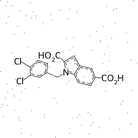 O=C(O)c1ccc2c(c1)cc(C(=O)O)n2Cc1ccc(Cl)c(Cl)c1